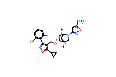 O=C(O)c1cc(N2C[C@@H]3C[C@H]2C[C@H]3OCc2c(-c3c(Cl)cccc3Cl)noc2C2CC2)no1